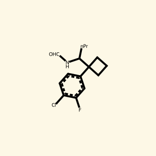 CCCC(NC=O)C1(c2ccc(Cl)c(F)c2)CCC1